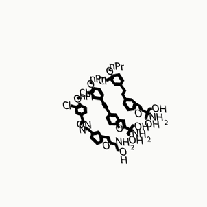 CCCOc1ccc(-c2nc(-c3ccc4oc(C(N)CO)cc4c3)no2)cc1Cl.CCCOc1ccc(C#Cc2ccc3oc(C(N)(CO)CO)cc3c2)cc1Cl.CCCOc1ccc(CCc2ccc3oc(C(N)(CO)CO)cc3c2)cc1Cl